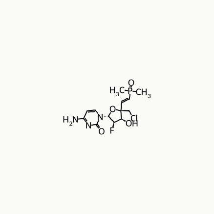 CP(C)(=O)/C=C/[C@@]1(CCl)O[C@@H](n2ccc(N)nc2=O)[C@H](F)[C@@H]1O